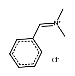 C[N+](C)=Cc1ccccc1.[Cl-]